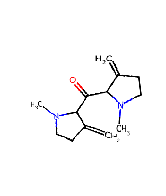 C=C1CCN(C)C1C(=O)C1C(=C)CCN1C